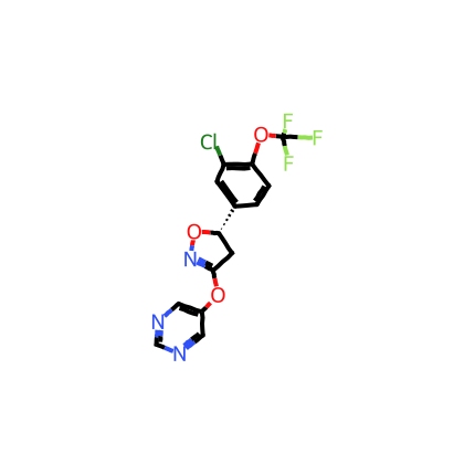 FC(F)(F)Oc1ccc([C@@H]2CC(Oc3cncnc3)=NO2)cc1Cl